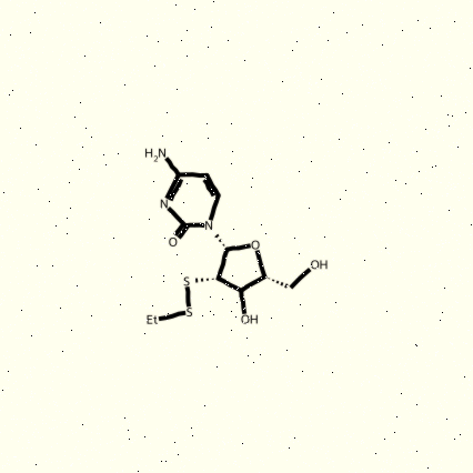 CCSS[C@H]1C(O)[C@@H](CO)O[C@H]1n1ccc(N)nc1=O